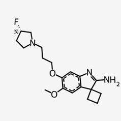 COc1cc2c(cc1OCCCN1CC[C@H](F)C1)N=C(N)C21CCC1